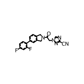 N#Cc1ncn(CC(=O)N2Cc3ccc(-c4ccc(F)cc4F)cc3C2)n1